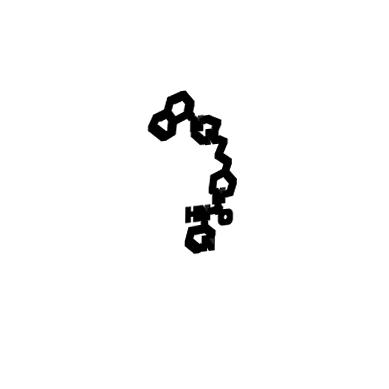 O=C(Nc1cccnc1)N1CCC(CCCN2CCN(c3cccc4ccccc34)CC2)CC1